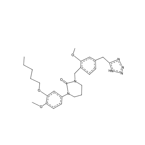 CCCCCOc1cc(N2CCCN(Cc3ccc(Cc4nnn[nH]4)cc3OC)C2=O)ccc1OC